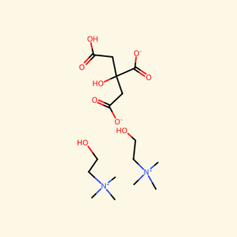 C[N+](C)(C)CCO.C[N+](C)(C)CCO.O=C([O-])CC(O)(CC(=O)O)C(=O)[O-]